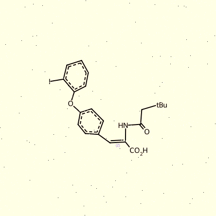 CC(C)(C)CC(=O)N/C(=C\c1ccc(Oc2ccccc2I)cc1)C(=O)O